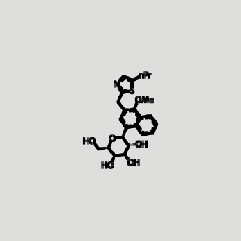 CCCc1cnc(Cc2cc([C@@H]3O[C@H](CO)[C@H](O)[C@H](O)[C@H]3O)c3ccccc3c2OC)s1